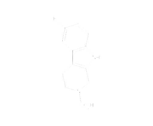 O=C(O)N1CCc2c([nH]c3ccc(F)cc23)C1